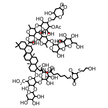 CC(=O)OC1C(C)OC(OC2C(C)OC(OC(=O)[C@]34CCC(C)(C)CC3C3=CCC5[C@@]6(C)CC[C@H](OC7OC(C(=O)O)C(O)C(OC8OCC(O)C(O)C8O)C7OC7OC(CO)C(O)C(O)C7O)[C@@](C)(/C=N/NC(=O)CCCCCN7C(=O)CC(SCCO)C7=O)C6CC[C@@]5(C)[C@]3(C)C[C@H]4O)C(OC3OC(C)C(OC4OCC(O)C(OC5OC(CO)C(O)C(O)C5O)C4O)C(O)C3O)C2O)C(O)C1OCC1OCC2OOC2CC1O